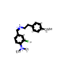 CCN(CC)c1ccc(/C=N\CCc2ccc(OC)cc2)cc1F